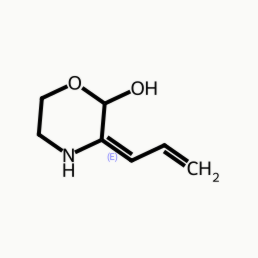 C=C/C=C1/NCCOC1O